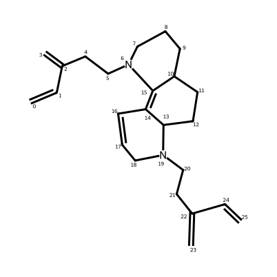 C=CC(=C)CCN1CCCC2CCC3C(=C21)C=CCN3CCC(=C)C=C